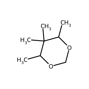 CC1OCOC(C)C1(C)C